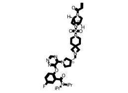 C=CC(=O)N1C[C@@H]2C[C@H]1CN2S(=O)(=O)N1CCC2(CC1)CN(C[C@@H]1CCN(c3ncnnc3Oc3ccc(F)cc3C(=O)N(C(C)C)C(C)C)C1)C2